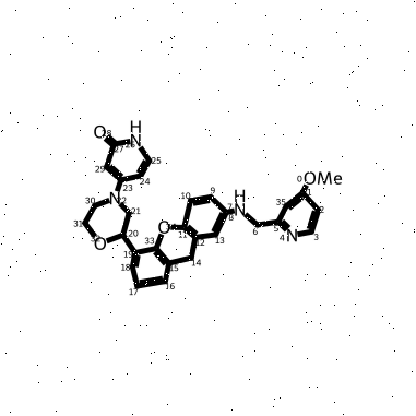 COc1ccnc(CNc2ccc3c(c2)Cc2cccc(C4CN(c5cc[nH]c(=O)c5)CCO4)c2O3)c1